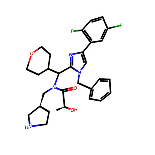 C[C@H](O)C(=O)N(C[C@H]1CCNC1)C(c1nc(-c2cc(F)ccc2F)cn1Cc1ccccc1)C1CCOCC1